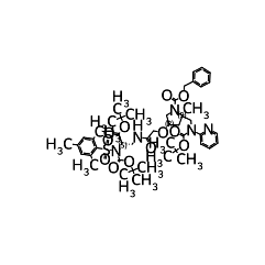 Cc1cc(C)c(S(=O)(=O)N(C(=O)OC(C)(C)C)[C@@H](CNC(=O)CO[C@H]2CN(C(=O)OCc3ccccc3)[C@](C)(CN(C(=O)OC(C)(C)C)c3ccccn3)C2)C(=O)OC(C)(C)C)c(C)c1